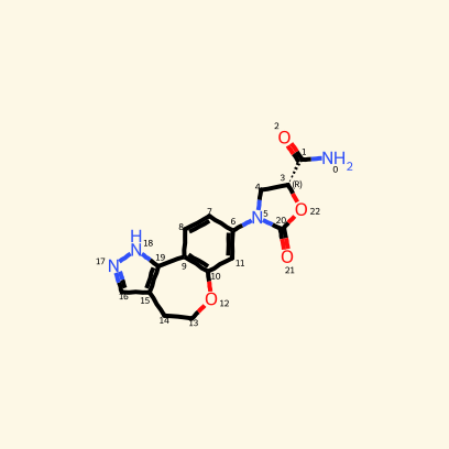 NC(=O)[C@H]1CN(c2ccc3c(c2)OCCc2cn[nH]c2-3)C(=O)O1